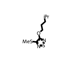 CSc1nsnc1OCCCC(C)C